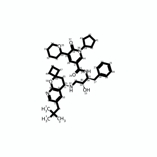 CC(C)(C)Cc1cnc2c(c1)[C@@H](NC[C@@H](O)[C@H](Cc1ccccc1)NC(=O)c1cc(C3CCCCO3)c(=O)n(C3CCCC3)c1)CC1(CCC1)O2